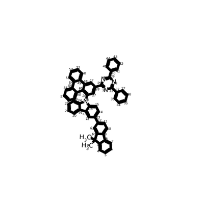 CC1(C)c2ccccc2-c2ccc(-c3ccc4c(c3)c3ccccc3n4-c3cc(-c4nc(-c5ccccc5)nc(-c5ccccc5)n4)cc4c5ccccc5c5ccccc5c34)cc21